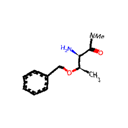 CNC(=O)[C@H](N)[C@@H](C)OCc1ccccc1